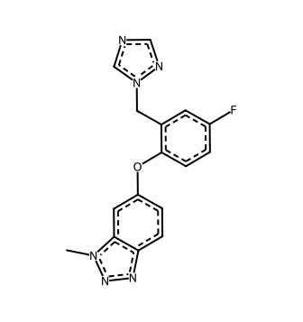 Cn1nnc2ccc(Oc3ccc(F)cc3Cn3cncn3)cc21